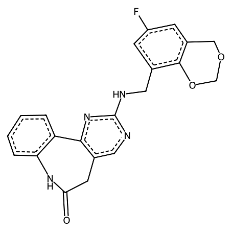 O=C1Cc2cnc(NCc3cc(F)cc4c3OCOC4)nc2-c2ccccc2N1